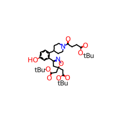 CC(C)(C)OC(=O)CCC(=O)N1CCC(c2ccc(O)cc2C2=NOC(CC(=O)OC(C)(C)C)(CC(=O)OC(C)(C)C)C2)CC1